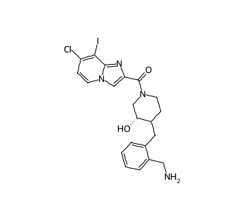 NCc1ccccc1CC1CCN(C(=O)c2cn3ccc(Cl)c(I)c3n2)C[C@H]1O